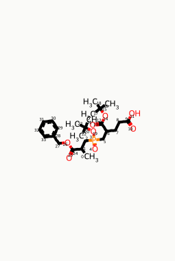 CC(CP(=O)(CC(CCC(=O)O)C(=O)OC(C)(C)C)OC(C)(C)C)C(=O)OCc1ccccc1